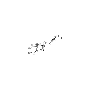 CC#CCOC(=O)NC1CCCCC1